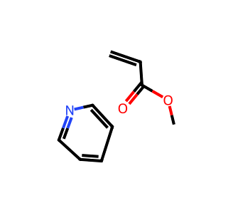 C=CC(=O)OC.c1ccncc1